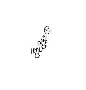 CCCC(CN1C=CCC1)N1CCN(C(=O)c2cc(Cc3n[nH]c(=O)c4ccccc34)ccc2F)CC1